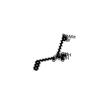 COc1c(Br)cc(CCCCCCCCCC(=O)O[C@H](COC(=O)CCCCCCCCCc2ccc3cc4ccccc4cc3c2)COC(C(O)CO)P(=O)(O)O)cc1Br